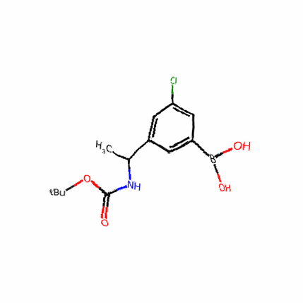 CC(NC(=O)OC(C)(C)C)c1cc(Cl)cc(B(O)O)c1